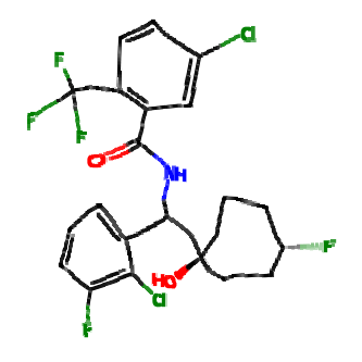 O=C(NC(c1cccc(F)c1Cl)[C@]1(O)CC[C@H](F)CC1)c1cc(Cl)ccc1C(F)(F)F